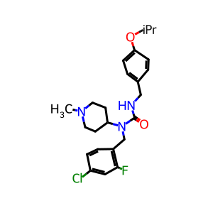 CC(C)Oc1ccc(CNC(=O)N(Cc2ccc(Cl)cc2F)C2CCN(C)CC2)cc1